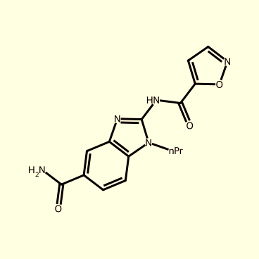 CCCn1c(NC(=O)c2ccno2)nc2cc(C(N)=O)ccc21